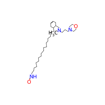 CN(CCCN1CCOCC1)CC1CC=CCC1CCCCCCCCCCCCCCCCCCNC=O